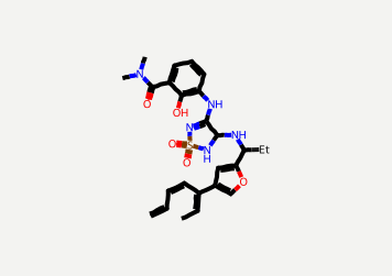 C=C/C=C\C(=C/C)c1coc(C(CC)NC2NS(=O)(=O)N=C2Nc2cccc(C(=O)N(C)C)c2O)c1